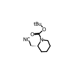 CC(C)(C)OC(=O)N1CCCC[C@@H]1CC#N